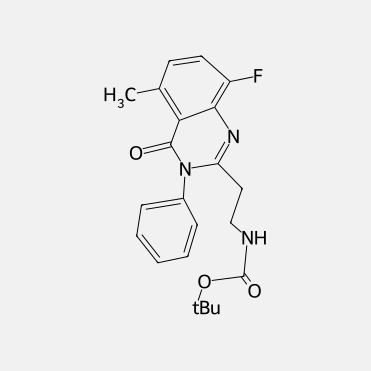 Cc1ccc(F)c2nc(CCNC(=O)OC(C)(C)C)n(-c3ccccc3)c(=O)c12